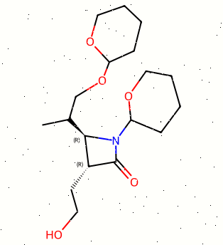 CC(COC1CCCCO1)[C@@H]1[C@@H](CCO)C(=O)N1C1CCCCO1